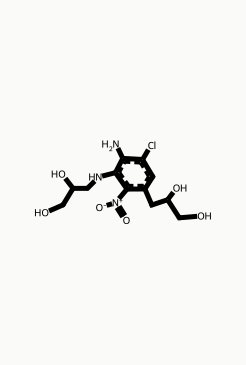 Nc1c(Cl)cc(CC(O)CO)c([N+](=O)[O-])c1NCC(O)CO